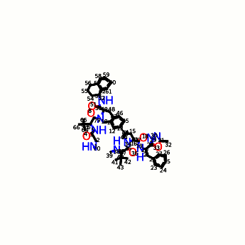 CNCC(=O)NC(C(=O)N1Cc2cc([C@H]3C[C@@H](C(=O)NC(Cc4ccccc4)c4nnc(C)o4)N(C(=O)[C@@H](NC)C(C)(C)C)C3)ccc2CC1C(=O)NC1CCCc2ccccc21)C(C)(C)C